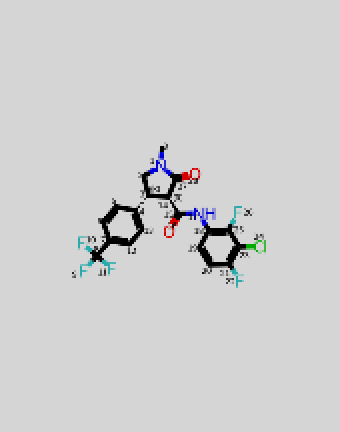 CN1C[C@@H](c2ccc(C(F)(F)F)cc2)[C@H](C(=O)Nc2ccc(F)c(Cl)c2F)C1=O